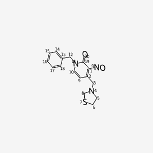 O=Nc1c(CN2CCSC2)ccn(Cc2ccccc2)c1=O